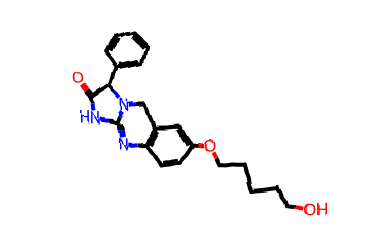 O=C1NC2=Nc3ccc(OCCCCCO)cc3CN2C1c1ccccc1